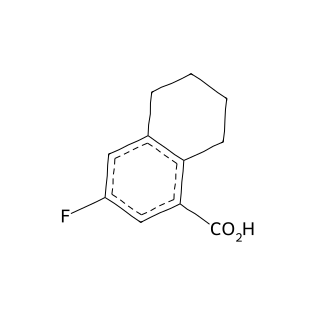 O=C(O)c1cc(F)cc2c1CCCC2